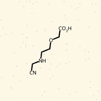 N#CCNCCOCC(=O)O